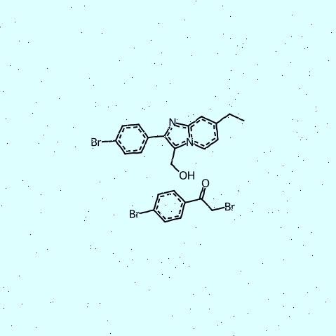 CCc1ccn2c(CO)c(-c3ccc(Br)cc3)nc2c1.O=C(CBr)c1ccc(Br)cc1